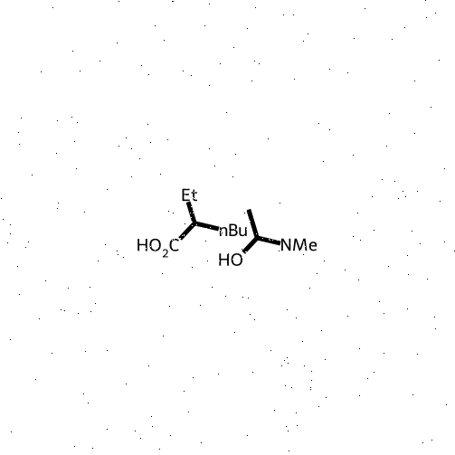 CCCCC(CC)C(=O)O.CNC(C)O